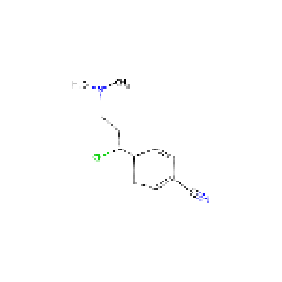 CN(C)CCC(Cl)c1ccc(C#N)cc1